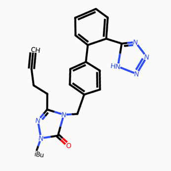 C#CCCc1nn(C(C)CC)c(=O)n1Cc1ccc(-c2ccccc2-c2nnn[nH]2)cc1